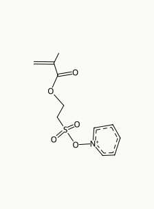 C=C(C)C(=O)OCCS(=O)(=O)O[n+]1ccccc1